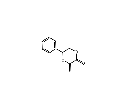 C=C1OC(c2ccccc2)COC1=O